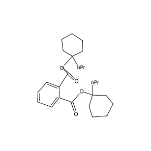 CCCC1(OC(=O)c2ccccc2C(=O)OC2(CCC)CCCCC2)CCCCC1